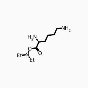 CCN(CC)OC(=O)[C@@H](N)CCCCN